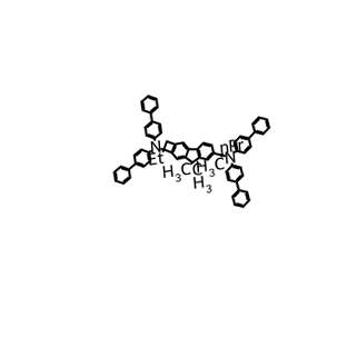 CCCC(C)(c1ccc2c(c1)C(C)(C)c1cc3c(cc1-2)CC3(CC)N(c1ccc(-c2ccccc2)cc1)c1ccc(-c2ccccc2)cc1)N(c1ccc(-c2ccccc2)cc1)c1ccc(-c2ccccc2)cc1